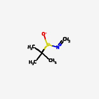 C=N[S+]([O-])C(C)(C)C